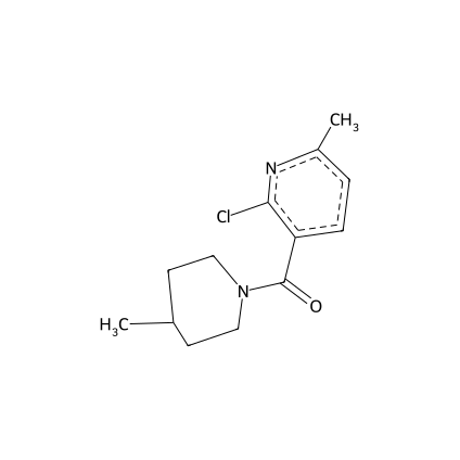 Cc1ccc(C(=O)N2CCC(C)CC2)c(Cl)n1